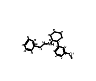 COc1cccc(C2CCCCC2NCCc2ccccc2)c1